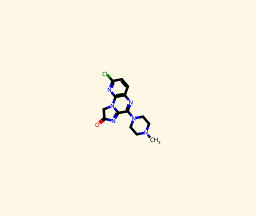 CN1CCN(C2=Nc3ccc(Cl)nc3N3CC(=O)N=C23)CC1